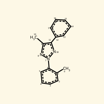 Cc1ccccc1-n1nc(C)c(-c2ccccc2)n1